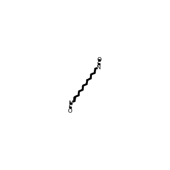 O=C=NC=CCCCCCCCCCCN=C=O